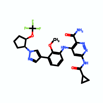 COc1c(Nc2cc(NC(=O)C3CC3)nnc2C(N)=O)cccc1-c1cnn([C@H]2CCC[C@H]2OC(F)(F)F)c1